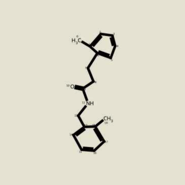 Cc1ccccc1CCC(=O)NCc1ccccc1C